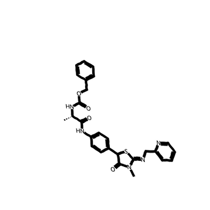 C[C@H](NC(=O)OCc1ccccc1)C(=O)Nc1ccc(C2S/C(=N\Cc3ccccn3)N(C)C2=O)cc1